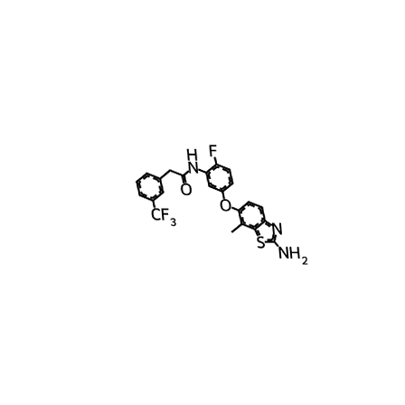 Cc1c(Oc2ccc(F)c(NC(=O)Cc3cccc(C(F)(F)F)c3)c2)ccc2nc(N)sc12